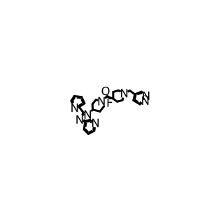 O=C(N1CCC(n2c(-c3ccccn3)nc3cccnc32)CC1)C1(F)CCN(Cc2ccnnc2)CC1